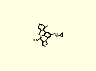 Nc1nc2c(-c3c(F)cccc3Cl)cc(NCC3CC3)cc2n2cncc12